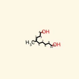 CC(CCCO)CCCCCO